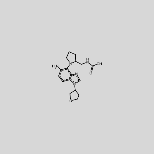 Nc1ccc2c(ncn2C2CCOC2)c1N1CCCC1CNC(=O)O